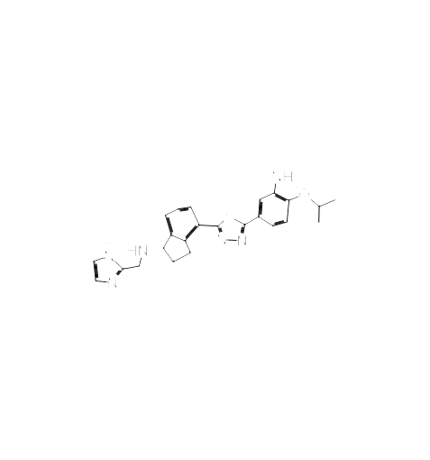 CC(C)Oc1ccc(-c2nnc(-c3cccc4c3CC[C@@H]4NCc3ncc[nH]3)s2)cc1N